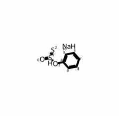 O=[SH](=S)Oc1ccccc1.[NaH]